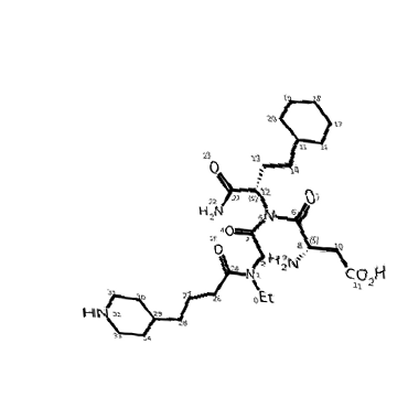 CCN(CC(=O)N(C(=O)[C@@H](N)CC(=O)O)[C@@H](CCC1CCCCC1)C(N)=O)C(=O)CCCC1CCNCC1